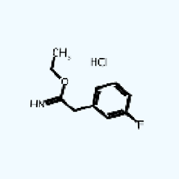 CCOC(=N)Cc1cccc(F)c1.Cl